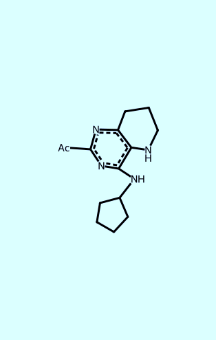 CC(=O)c1nc2c(c(NC3CCCC3)n1)NCCC2